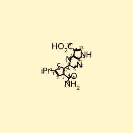 CC(C)c1cc(C(N)=O)c(-c2cnc3[nH]cc(C(=O)O)c3n2)s1